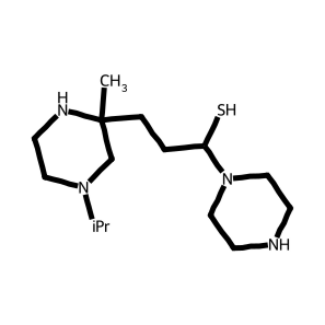 CC(C)N1CCNC(C)(CCC(S)N2CCNCC2)C1